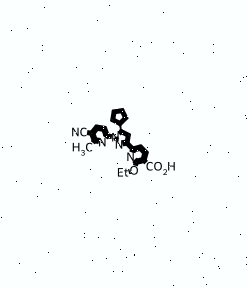 CCOc1nc(C2=NN(c3ccc(C#N)c(C)n3)[C@@H](C3CCCC3)C2)ccc1C(=O)O